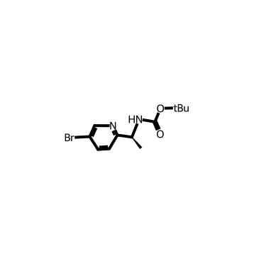 C[C@H](NC(=O)OC(C)(C)C)c1ccc(Br)cn1